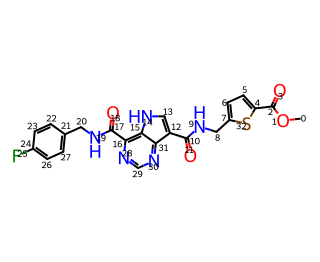 COC(=O)c1ccc(CNC(=O)c2c[nH]c3c(C(=O)NCc4ccc(F)cc4)ncnc23)s1